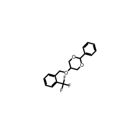 FC(F)(F)c1ccccc1COC1COC(c2ccccc2)OC1